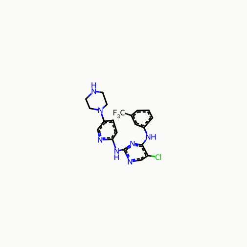 FC(F)(F)c1cccc(Nc2nc(Nc3ccc(N4CCNCC4)cn3)ncc2Cl)c1